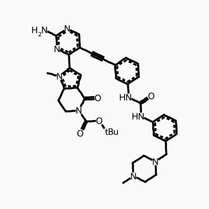 CN1CCN(Cc2cccc(NC(=O)Nc3cccc(C#Cc4cnc(N)nc4-c4cc5c(n4C)CCN(C(=O)OC(C)(C)C)C5=O)c3)c2)CC1